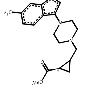 COC(=O)[C@@H]1CC1CN1CCN(c2csc3cc(C(F)(F)F)ccc23)CC1